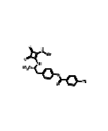 CCCNc1c(N[C@@H](Cc2ccc(NC(=O)c3ccc(C#N)cc3)cc2)C(=O)O)c(=O)c1=O